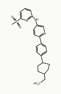 CS(=O)(=O)c1cccc(Nc2ccc(-c3ccc(C4CCC(CC(=O)O)CC4)cc3)nc2)n1